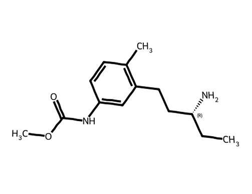 CC[C@@H](N)CCc1cc(NC(=O)OC)ccc1C